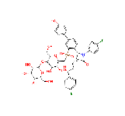 O=C1[C@H](CCC(O)c2ccc(F)cc2)C(c2ccc(-c3ccc(O)cc3)cc2S(=O)(=O)CC2OC(CO)C(OC3OC(CO)C(O)C(O)C3O)C(O)C2O)N1c1ccc(F)cc1